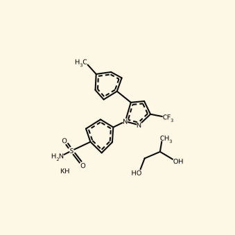 CC(O)CO.Cc1ccc(-c2cc(C(F)(F)F)nn2-c2ccc(S(N)(=O)=O)cc2)cc1.[KH]